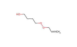 C=CCOOCCCCO